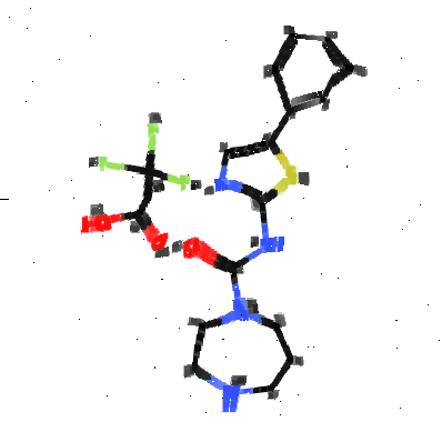 O=C(Nc1ncc(-c2ccccc2)s1)N1CCCNCC1.O=C(O)C(F)(F)F